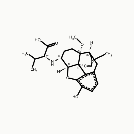 CO[C@@]12CC[C@@H](N[C@@H](C(=O)O)C(C)C)[C@@H]3Oc4c(O)ccc5c4[C@@]31CCN(C)[C@@H]2C5